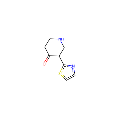 O=C1CCNCC1c1nccs1